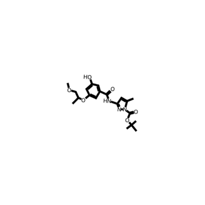 COCC(C)Oc1cc(O)cc(C(=O)Nc2cc(C)n(C(=O)OC(C)(C)C)n2)c1